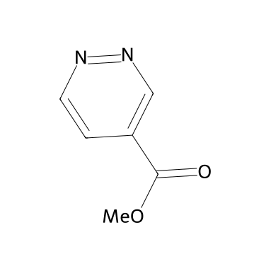 COC(=O)c1ccnnc1